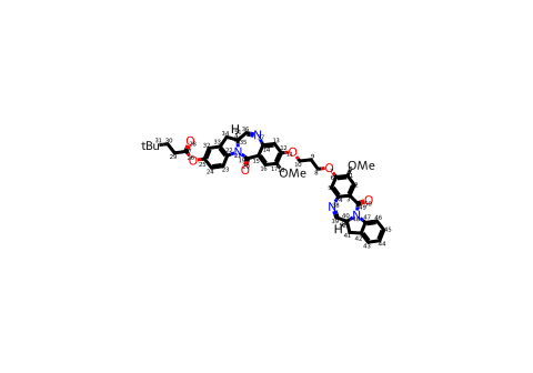 COc1cc2c(cc1OCCCOc1cc3c(cc1OC)C(=O)N1c4ccc(OC(=O)CCC(C)(C)C)cc4C[C@H]1C=N3)N=C[C@@H]1Cc3ccccc3N1C2=O